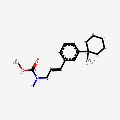 CN(C/C=C/c1cccc(C2(C(=O)O)CCCCC2)c1)C(=O)OC(C)(C)C